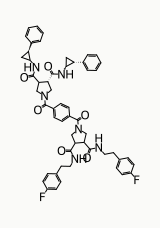 O=C(NCCc1ccc(F)cc1)C1CN(C(=O)c2ccc(C(=O)N3CC(C(=O)NC4C[C@H]4c4ccccc4)[C@H](C(=O)N[C@H]4C[C@@H]4c4ccccc4)C3)cc2)CC1C(=O)NCCc1ccc(F)cc1